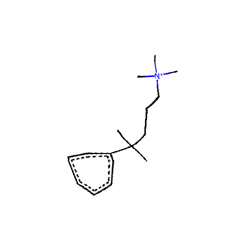 CC(C)(CCC[N+](C)(C)C)c1ccccc1